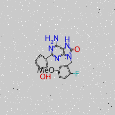 COc1ccc(F)c(Cn2c(=O)[nH]c3c(N)nc(-c4cccc(O)c4)nc32)c1